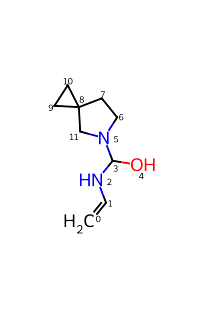 C=CNC(O)N1CCC2(CC2)C1